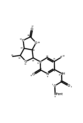 CCCCCOC(=O)Nc1nc(=O)n(C2OC(C)C3OC(=O)OC32)cc1F